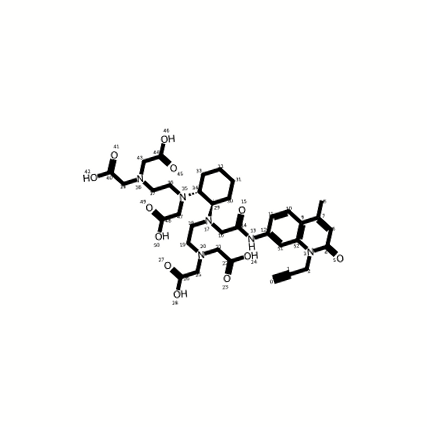 C#CCn1c(=O)cc(C)c2ccc(NC(=O)CN(CCN(CC(=O)O)CC(=O)O)[C@@H]3CCCC[C@H]3N(CCN(CC(=O)O)CC(=O)O)CC(=O)O)cc21